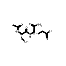 CC(=O)N[C@@H](CO)C(=O)N[C@@H](CCC(=O)O)C(N)=O